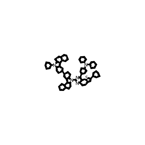 c1ccc(-c2cc3ccc4nc(-n5c6ccc(-c7ccc8c(c7)c7c9ccccc9ccc7n8-c7ccccc7)cc6c6c7ccccc7ccc65)nc(-c5ccc(N(c6ccccc6)c6ccccc6)cc5)c4c3s2)cc1